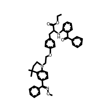 CCOC(=O)C(Cc1ccc(OCCN2CCC(C)(C)c3cc(/C(=N/OC)c4ccccc4)ccc32)cc1)Nc1ccccc1C(=O)c1ccccc1